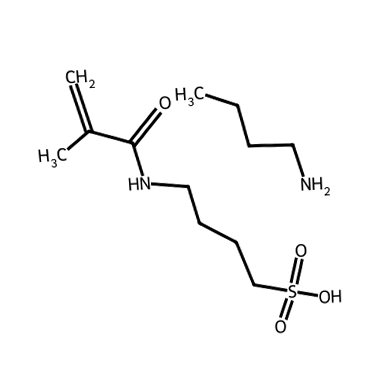 C=C(C)C(=O)NCCCCS(=O)(=O)O.CCCCN